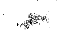 Cc1cc(C)c(CN2CCc3c(c(C)c4c(c3C3CCCC3)OC(C)([C@H]3CC[C@H](N(C)C)CC3)O4)C2=O)c(=O)[nH]1